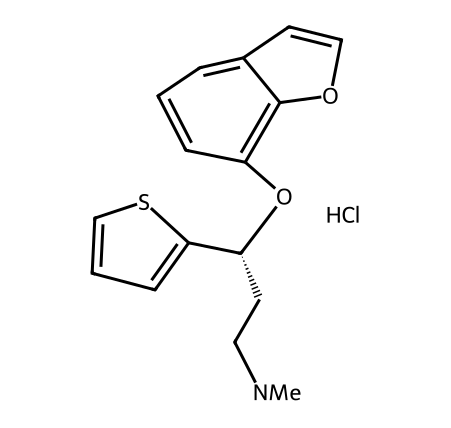 CNCC[C@@H](Oc1cccc2ccoc12)c1cccs1.Cl